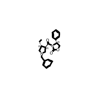 CC[C@H]1CN(Cc2ccccc2)C[C@@H]1C(=O)N1C(=O)OC[C@H]1c1ccccc1